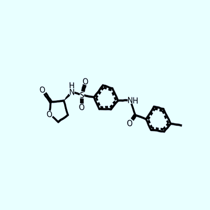 Cc1ccc(C(=O)Nc2ccc(S(=O)(=O)N[C@H]3CCOC3=O)cc2)cc1